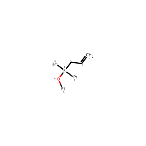 C=CC[Si](OCC)(C(C)C)C(C)C